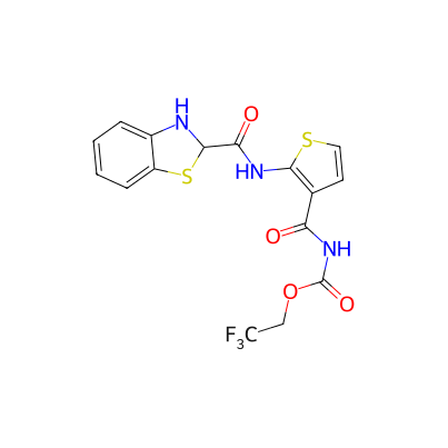 O=C(NC(=O)c1ccsc1NC(=O)C1Nc2ccccc2S1)OCC(F)(F)F